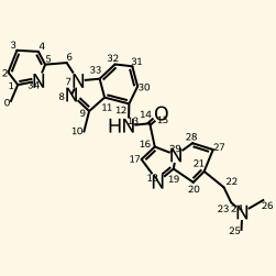 Cc1cccc(Cn2nc(C)c3c(NC(=O)c4cnc5cc(CCN(C)C)ccn45)cccc32)n1